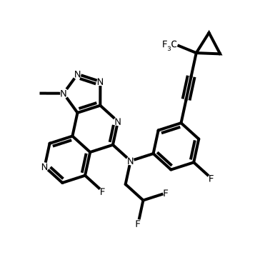 Cn1nnc2nc(N(CC(F)F)c3cc(F)cc(C#CC4(C(F)(F)F)CC4)c3)c3c(F)cncc3c21